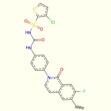 CNc1cc2ccn(-c3ccc(NC(=O)NS(=O)(=O)c4sccc4Cl)cc3)c(=O)c2cc1F